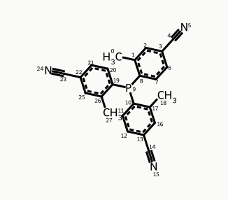 Cc1cc(C#N)ccc1P(c1ccc(C#N)cc1C)c1ccc(C#N)cc1C